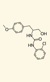 COc1ccc(CC(CO)NC(=O)Nc2ccccc2Cl)cc1